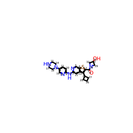 O=C(c1sc2cnc(Nc3ccc(N4CCNCC4)cn3)cc2c1C1CCC1)N1CC(O)C1